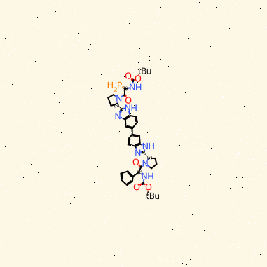 CC(C)(C)OC(=O)N[C@H](P)C(=O)N1CCC[C@H]1c1nc2cc(-c3ccc4nc([C@@H]5CCCN5C(=O)[C@H](NC(=O)OC(C)(C)C)c5ccccc5)[nH]c4c3)ccc2[nH]1